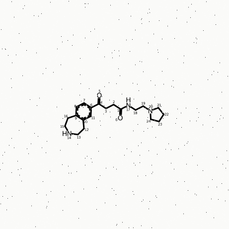 O=C(CCC(=O)c1ccc2c(c1)CCNCC2)NCCN1CCCC1